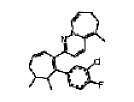 CC1=C2C=CC(C3=C(c4ccc(F)c(Cl)c4)C(C)C(C)CC=C3)=NN2C=CCC1